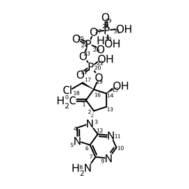 C=C1[C@@H](n2cnc3c(N)ncnc32)C[C@H](O)[C@@]1(CCl)OP(=O)(O)OP(=O)(O)OP(=O)(O)O